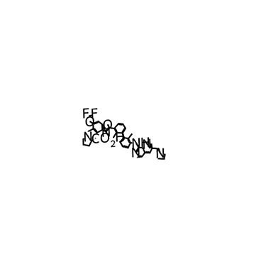 Cc1c(Nc2nccc3cc(CN4CCC4)cnc23)cccc1-c1cccc(-c2nc3cc(CN4CCC[C@H]4C(=O)O)c(OC(F)F)cc3o2)c1C